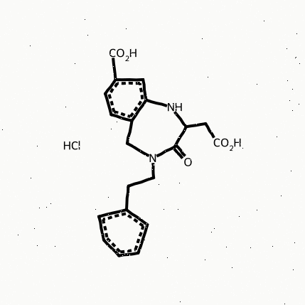 Cl.O=C(O)CC1Nc2cc(C(=O)O)ccc2CN(CCc2ccccc2)C1=O